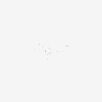 O=S(=O)(c1ccc(CN2CC3(CNC3)C2)c(F)c1)C(F)(F)F